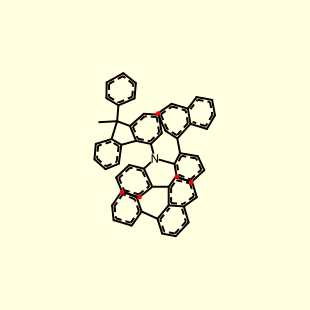 CC1(c2ccccc2)c2ccccc2-c2c(N(c3ccccc3-c3cccc4ccccc34)c3ccccc3-c3cccc4cccc(-c5ccccc5)c34)cccc21